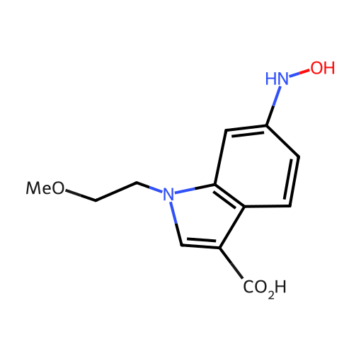 COCCn1cc(C(=O)O)c2ccc(NO)cc21